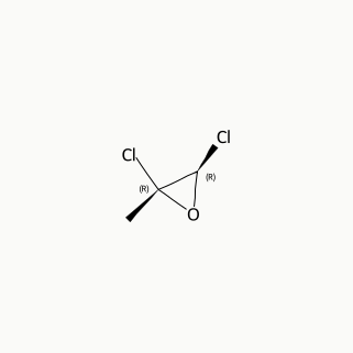 C[C@]1(Cl)O[C@@H]1Cl